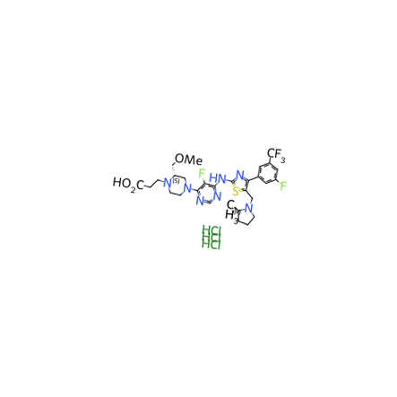 COC[C@@H]1CN(c2ncnc(Nc3nc(-c4cc(F)cc(C(F)(F)F)c4)c(CN4CCC[C@H]4C)s3)c2F)CCN1CCC(=O)O.Cl.Cl.Cl